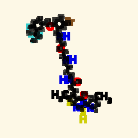 Cc1ccnc(-n2c(S)nc3sc(C)c(C=CC(=O)NCCCCNCCOCCNCc4cc(Br)ccc4OCc4ccc(F)c(C(F)(F)F)c4)c3c2=O)c1